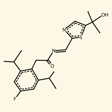 CC(C)c1cc(F)cc(C(C)C)c1CC(=O)N=Cc1ncc(C(C)(C)O)s1